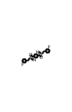 O=c1c2cc3ncn(CCc4cccc(F)c4)c(=O)c3cc2ncn1CCc1cccc(F)c1